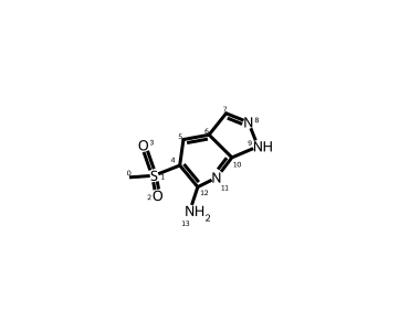 CS(=O)(=O)c1cc2cn[nH]c2nc1N